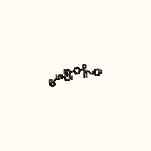 O=C(NCCN1CCOCC1)c1ccc(-c2cnn3c(NCCc4ccco4)ccnc23)cc1